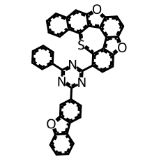 c1ccc(-c2nc(-c3ccc4c(c3)oc3ccccc34)nc(-c3ccc4oc5ccc6oc7cc8ccccc8c8sc3c4c5c6c78)n2)cc1